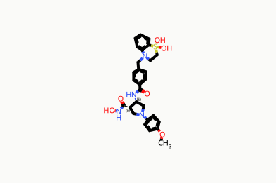 COc1ccc(N2C[C@H](C(=O)NO)[C@H](NC(=O)c3ccc(CN4CCS(O)(O)c5ccccc54)cc3)C2)cc1